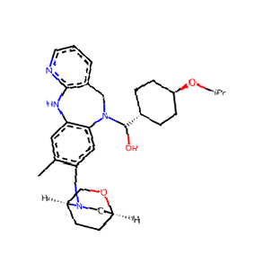 Cc1cc2c(cc1N1C[C@@H]3CC[C@H]1CO3)N(C(O)[C@H]1CC[C@H](OC(C)C)CC1)Cc1cccnc1N2